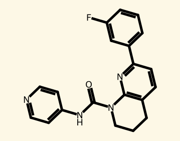 O=C(Nc1ccncc1)N1CCCc2ccc(-c3cccc(F)c3)nc21